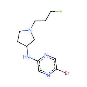 FCCCN1CCC(Nc2cnc(Br)cn2)C1